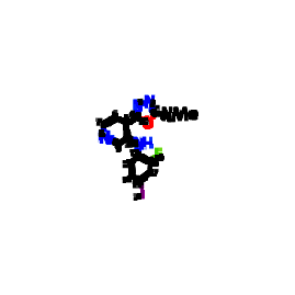 CNc1nnc(-c2ccncc2Nc2ccc(I)cc2F)o1